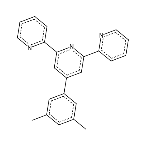 Cc1cc(C)cc(-c2cc(-c3ccccn3)nc(-c3ccccn3)c2)c1